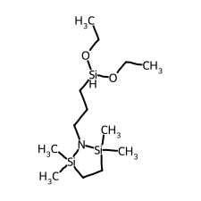 CCO[SiH](CCCN1[Si](C)(C)CC[Si]1(C)C)OCC